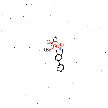 CC(C)C(CS(=O)(=O)N1CCc2cc(-c3ccccc3)ccc2C1)C(=O)OC(C)(C)C